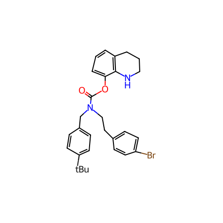 CC(C)(C)c1ccc(CN(CCc2ccc(Br)cc2)C(=O)Oc2cccc3c2NCCC3)cc1